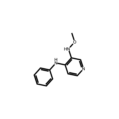 CONc1cnccc1Nc1ccccc1